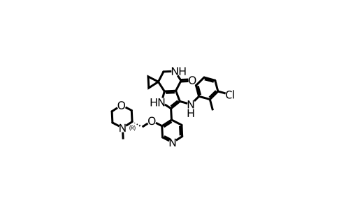 Cc1c(Cl)cccc1Nc1c(-c2ccncc2OC[C@H]2COCCN2C)[nH]c2c1C(=O)NCC21CC1